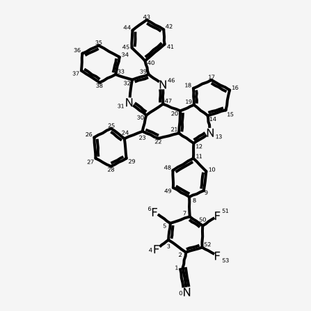 N#Cc1c(F)c(F)c(-c2ccc(-c3nc4ccccc4c4c3cc(-c3ccccc3)c3nc(-c5ccccc5)c(-c5ccccc5)nc34)cc2)c(F)c1F